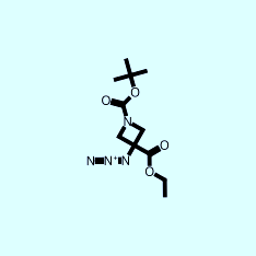 CCOC(=O)C1(N=[N+]=[N-])CN(C(=O)OC(C)(C)C)C1